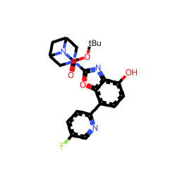 CC(C)(C)OC(=O)N1C2CC1CN(c1nc3c(O)ccc(-c4ccc(F)cn4)c3o1)C2